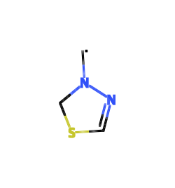 [CH2]N1CSC=N1